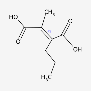 CCC/C(C(=O)O)=C(/C)C(=O)O